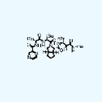 CCC[C@H](NC(=O)[C@@H]1[C@H]2CCC[C@H]2CN1C(=O)[C@@H](NC(=O)[C@@H](NC(=O)c1cnccn1)C(C)CC)C(C)(C)C)C(=O)C(=O)N[C@@H](C)CC